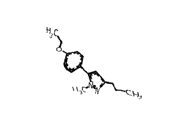 CCCc1cc(-c2ccc(OCC)cc2)n(C)n1